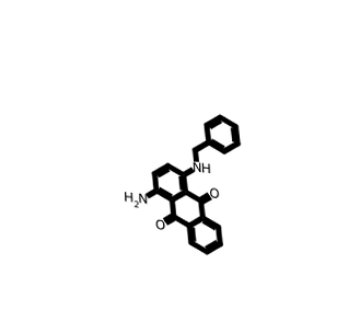 Nc1ccc(NCc2ccccc2)c2c1C(=O)c1ccccc1C2=O